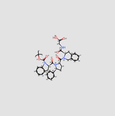 CC(C)(C)OC(=O)N1c2ccccc2C[C@@H]1C(=O)N1[C@@H](C(=O)N2Cc3ccccc3C[C@@H]2C(=O)NCC(=O)O)CC[C@H]1c1ccccc1